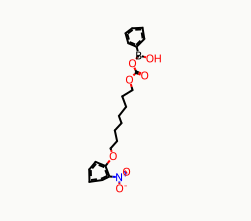 O=C(OCCCCCCCCOc1ccccc1[N+](=O)[O-])OB(O)c1ccccc1